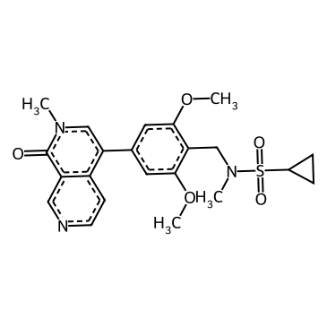 COc1cc(-c2cn(C)c(=O)c3cnccc23)cc(OC)c1CN(C)S(=O)(=O)C1CC1